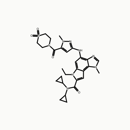 CCn1c(C(=O)N(C2CC2)C2CC2)cc2c3c(ncn3C)c(Nc3cc(C(=O)N4CCS(=O)(=O)CC4)n(C)n3)cc21